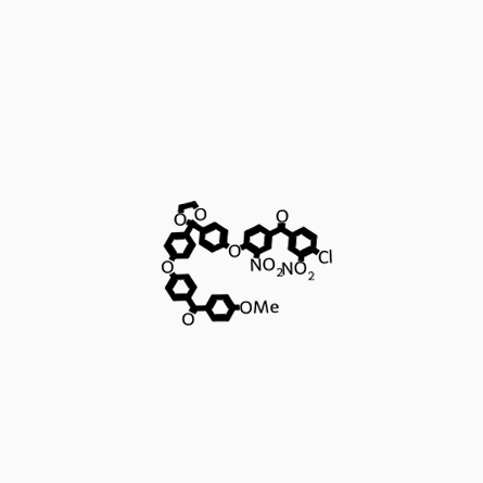 COc1ccc(C(=O)c2ccc(Oc3ccc(C4(c5ccc(Oc6ccc(C(=O)c7ccc(Cl)c([N+](=O)[O-])c7)cc6[N+](=O)[O-])cc5)OCCO4)cc3)cc2)cc1